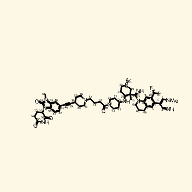 CN/C=C(\C=N)c1cc2c(cc1C(F)F)N(C(=N)C1(C)CN(C(C)=O)CCC1NC1CCN(C(=O)CCCN3CCC(C#Cc4ccc5c(c4)n(C)c(=O)n5C4CCC(=O)NC4=O)CC3)CC1)CCC2